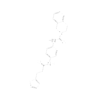 O=C(CCc1cccs1)Nc1ccc(NC(=O)N2CCc3ccccc3C2)cc1